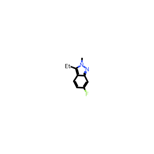 CCc1c2ccc(F)cc2nn1C